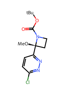 CO[C@]1(c2ccc(Cl)nn2)CCN1C(=O)OC(C)(C)C